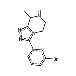 CC1NCCn2c(-c3cccc(Br)n3)nnc21